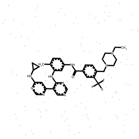 CCN1CCN(Cc2ccc(C(=O)Nc3ccc(C)c(Nc4ncncc4-c4cc(NC5CC5)ncn4)c3)cc2C(F)(F)F)CC1